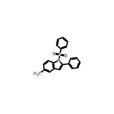 Cc1ccc2c(c1)cc(-c1ccccc1)n2S(=O)(=O)c1ccccc1